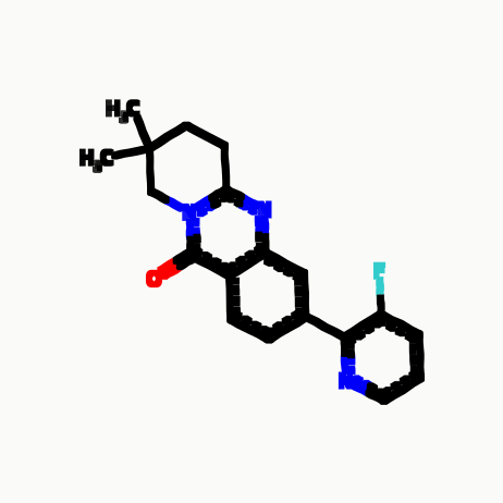 CC1(C)CCc2nc3cc(-c4ncccc4F)ccc3c(=O)n2C1